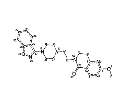 COc1ncc2c(n1)CCN(CCN1CCN(c3noc4ccccc34)CC1)C2=O